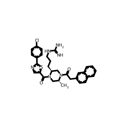 C[C@@H]1CN(C(=O)c2cnc(-c3ccc(Cl)cc3)s2)[C@@H](CCCNC(=N)N)CN1C(=O)Cc1ccc2ccccc2c1